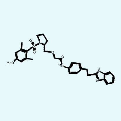 COc1cc(C)c(S(=O)(=O)N2CCCC2COCC(=O)Nc2ccc(CCc3nc4ccccc4[nH]3)cc2)c(C)c1